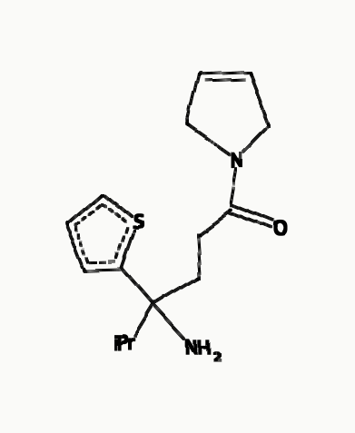 CC(C)C(N)(CCC(=O)N1CC=CC1)c1cccs1